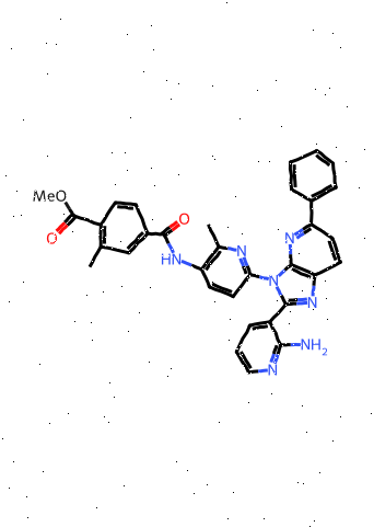 COC(=O)c1ccc(C(=O)Nc2ccc(-n3c(-c4cccnc4N)nc4ccc(-c5ccccc5)nc43)nc2C)cc1C